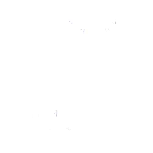 COCCn1cncc1COc1ccc(-c2ccc(CC(C)NC(C)=O)cc2)cc1